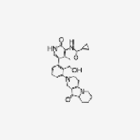 Cc1c(-c2cccc(N3CCC4=C(C3)C(=O)C3CCCCN43)c2CO)c[nH]c(=O)c1NC(=O)C1CC1